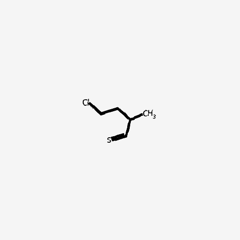 CC(C=S)CCCl